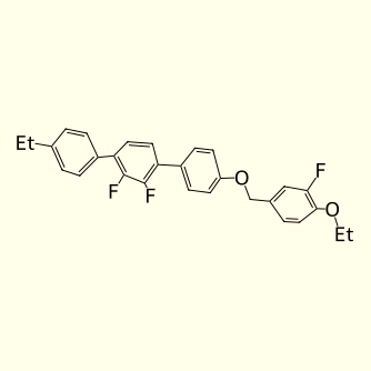 CCOc1ccc(COc2ccc(-c3ccc(-c4ccc(CC)cc4)c(F)c3F)cc2)cc1F